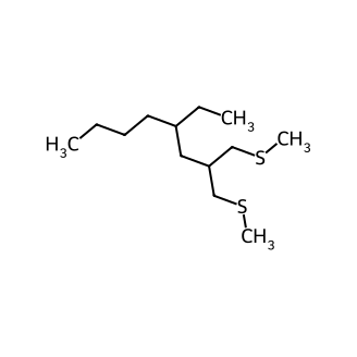 CCCCC(CC)CC(CSC)CSC